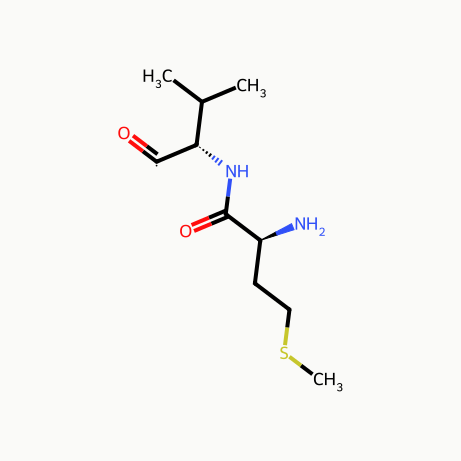 CSCC[C@H](N)C(=O)N[C@H]([C]=O)C(C)C